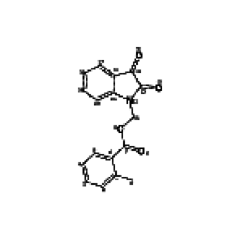 Cc1ccccc1C(=O)OCN1C(=O)C(=O)c2ccccc21